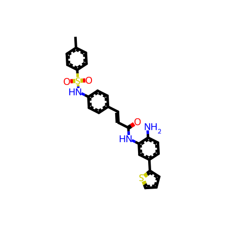 Cc1ccc(S(=O)(=O)Nc2ccc(/C=C/C(=O)Nc3cc(-c4cccs4)ccc3N)cc2)cc1